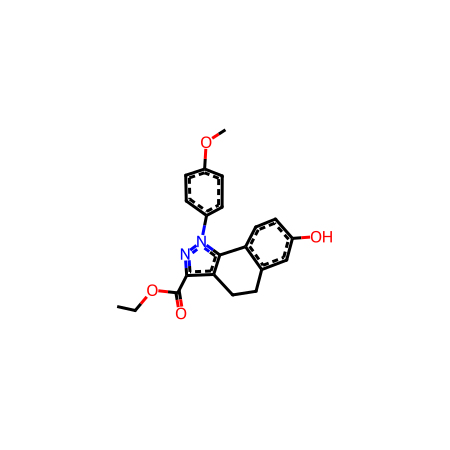 CCOC(=O)c1nn(-c2ccc(OC)cc2)c2c1CCc1cc(O)ccc1-2